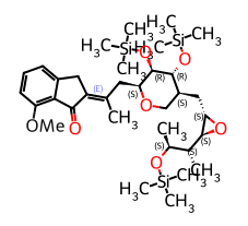 COc1cccc2c1C(=O)/C(=C(\C)C[C@@H]1OC[C@H](C[C@@H]3O[C@H]3[C@H](C)[C@H](C)O[Si](C)(C)C)[C@@H](O[Si](C)(C)C)[C@@H]1O[Si](C)(C)C)C2